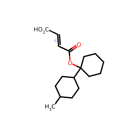 CC1CCC(C2(OC(=O)/C=C/C(=O)O)CCCCC2)CC1